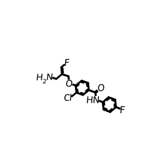 NC/C(=C/F)COc1ccc(C(=O)Nc2ccc(F)cc2)cc1Cl